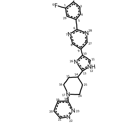 Fc1cccc(-c2ncc(-c3c[nH]c(C4CCN(c5cccnn5)CC4)n3)cn2)c1